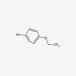 CC(=O)c1ccc(OCC(F)(F)F)cc1